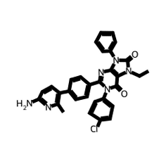 CCn1c(=O)n(-c2ccccc2)c2nc(-c3ccc(-c4ccc(N)nc4C)cc3)n(-c3ccc(Cl)cc3)c(=O)c21